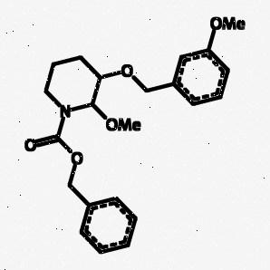 COc1cccc(COC2CCCN(C(=O)OCc3ccccc3)C2OC)c1